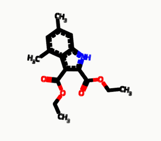 CCOC(=O)c1[nH]c2cc(C)cc(C)c2c1C(=O)OCC